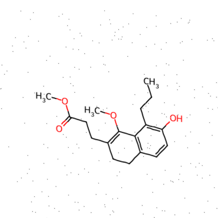 CCCc1c(O)ccc2c1C(OC)=C(CCC(=O)OC)CC2